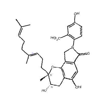 CC(C)=CCC/C(C)=C/CC[C@]1(C)Oc2c(c(O)cc3c2CN(c2ccc(O)cc2C(=O)O)C3=O)C[C@@H]1O